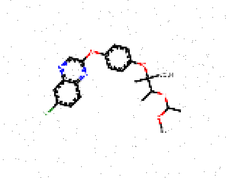 CCOC(C)OC(C)C(C)(Oc1ccc(Oc2cnc3cc(Cl)ccc3n2)cc1)C(=O)O